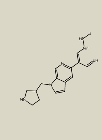 N=C/C(=C\NPI)c1cc2ccn(CC3CCNC3)c2cn1